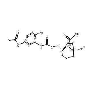 CC(=O)Nc1ccc(Br)c(NC(=O)OC[C@]23CCC[C@H](CC2)N3C(=O)O)c1